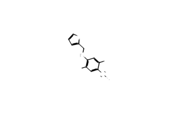 NS(=O)(=O)c1cc(C=O)c(NCc2ccco2)cc1Cl